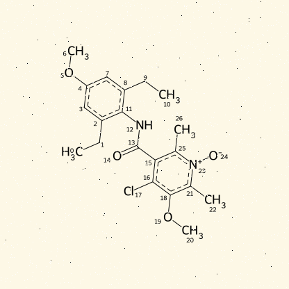 CCc1cc(OC)cc(CC)c1NC(=O)c1c(Cl)c(OC)c(C)[n+]([O-])c1C